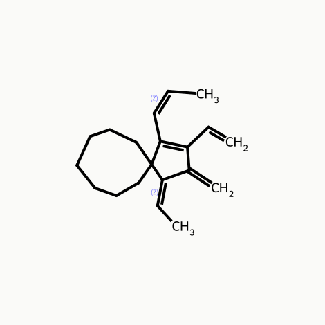 C=CC1=C(/C=C\C)C2(CCCCCCC2)/C(=C/C)C1=C